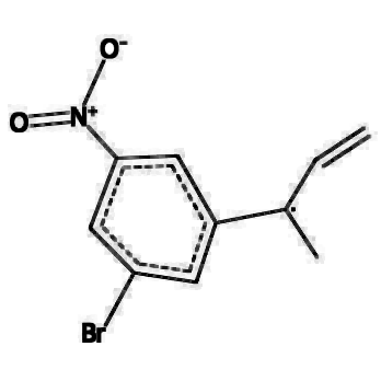 C=C[C](C)c1cc(Br)cc([N+](=O)[O-])c1